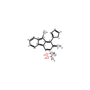 C=c1ccc2c(c1C1=CC=CC1)[C]([Ti+2])=c1ccccc1=2.C[O-].C[O-]